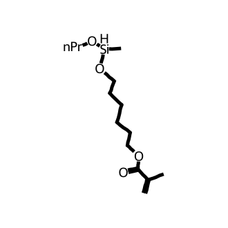 C=C(C)C(=O)OCCCCCCO[SiH](C)OCCC